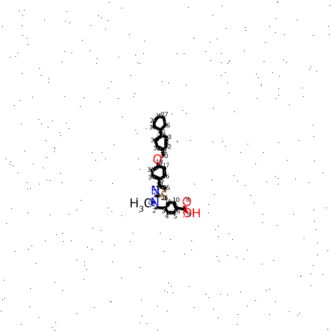 CN(Cc1ccc(C(=O)O)cc1)c1nc(-c2ccc(OCc3ccc(C4CCCCC4)cc3)cc2)cs1